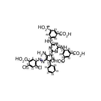 Nc1c(/N=N/c2cc(C(=O)O)c(Cl)cc2Cl)c(-c2ccccc2)nn1-c1nc(Nc2cc(OC=O)cc(C(=O)O)c2)nc(Nc2cc(C(=O)O)cc(C(=O)O)c2)n1